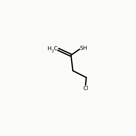 C=C(S)CCCl